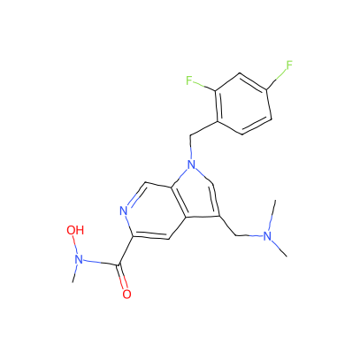 CN(C)Cc1cn(Cc2ccc(F)cc2F)c2cnc(C(=O)N(C)O)cc12